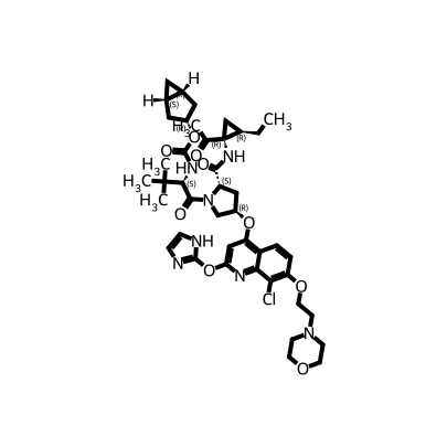 CC[C@@H]1C[C@]1(NC(=O)[C@@H]1C[C@@H](Oc2cc(Oc3ncc[nH]3)nc3c(Cl)c(OCCN4CCOCC4)ccc23)CN1C(=O)[C@@H](NC(=O)O[C@@H]1C[C@@H]2C[C@@H]2C1)C(C)(C)C)C(C)=O